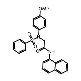 COc1ccc(N(CC(=O)Nc2cccc3ccccc23)S(=O)(=O)c2ccccc2)cc1